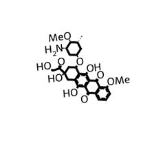 COc1cccc2c1C(=O)c1c(O)c3c(c(O)c1C2=O)C[C@](O)(C(=O)CO)CC3O[C@H]1C[C@@H](C)[C@@H](OC)[C@@H](N)C1